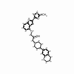 Cc1nnc(-c2cc3c(OC[C@@H](O)CN4CCC(c5ccc6c(c5)SCCC6)CC4)cccc3o2)o1